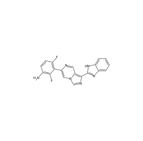 Nc1ccc(F)c(-c2cn3cnc(-c4nc5ccccc5[nH]4)c3cn2)c1F